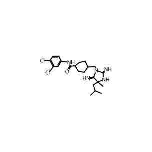 CC(C)CC1(C)NC(=N)N(CC2CCC(C(=O)Nc3ccc(Cl)c(Cl)c3)CC2)C1=N